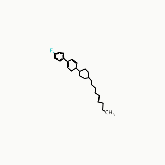 CCCCCCCCCC1CCC(C2C=CC(c3ccc(F)cc3)=CC2)CC1